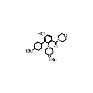 CCCCN1CCN(c2c(C(=O)N3CCOCC3)cccc2C2CCC(C(C)(C)C)CC2)CC1.Cl